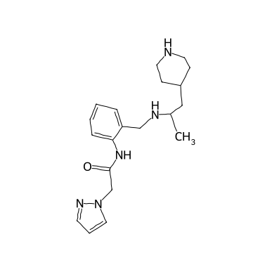 CC(CC1CCNCC1)NCc1ccccc1NC(=O)Cn1cccn1